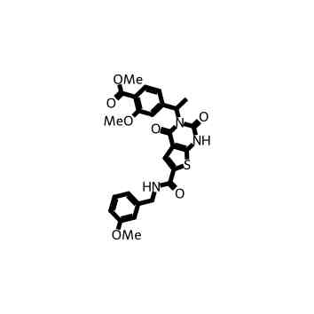 COC(=O)c1ccc(C(C)n2c(=O)[nH]c3sc(C(=O)NCc4cccc(OC)c4)cc3c2=O)cc1OC